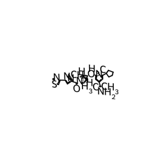 Cn1nc(-c2cscn2)cc1C(=O)N1C[C@@H]2C(Oc3cc(C(C)(C)N)cc(C4(C)CCCC4)n3)[C@@H]2C1